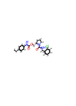 CCc1ccc(NC(=O)OC[C@@H]2CCCN2C(=O)NCc2ccccc2Cl)cc1